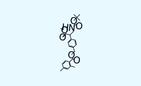 COC(=O)C(CNC(=O)OC(C)(C)C)c1ccc(COC(=O)c2ccc(C)cc2C)cc1